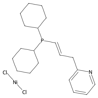 C(=CP(C1CCCCC1)C1CCCCC1)Cc1ccccn1.[Cl][Ni][Cl]